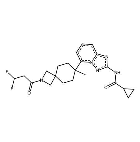 O=C(Nc1nc2cccc(C3(F)CCC4(CC3)CN(C(=O)CC(F)F)C4)n2n1)C1CC1